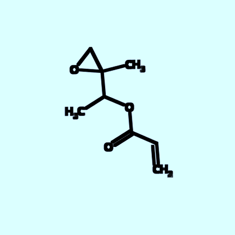 C=CC(=O)OC(C)C1(C)CO1